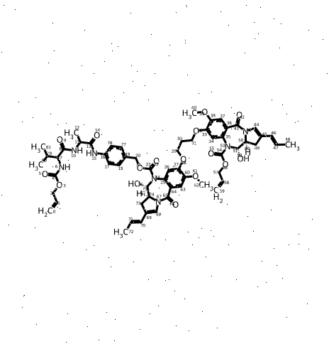 C=CCOC(=O)NC(C(=O)NC(C)C(=O)Nc1ccc(COC(=O)N2c3cc(OCCCOc4cc5c(cc4OC)C(=O)N4C=C(/C=C/C)C[C@H]4[C@H](O)N5C(=O)OCC=C)c(OC)cc3C(=O)N3C=C(/C=C/C)C[C@H]3[C@@H]2O)cc1)C(C)C